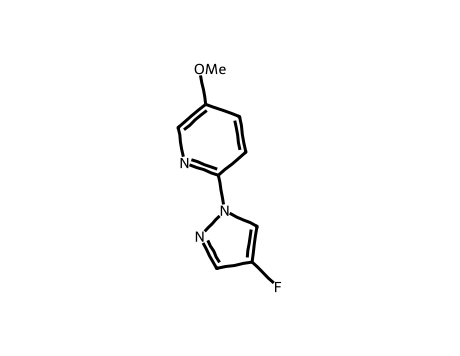 COc1ccc(-n2cc(F)cn2)nc1